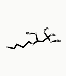 CCC(C)OC(CC(OCCCC[O])OC(C)(C)C)(OCC(C)C)OC(C)C